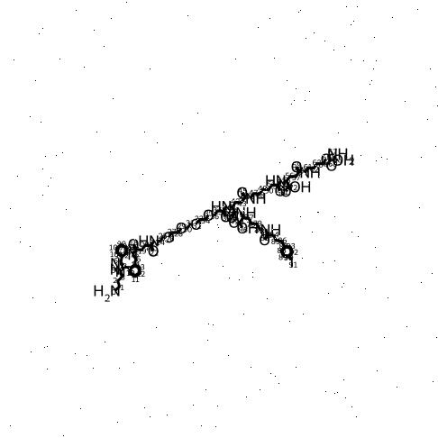 NCCCn1nnc2c1-c1ccccc1CN(C(=O)CCC(=O)NCCOCCOCCOCCOCCC(=O)NC(CCC(=O)NCCCCCC(=O)NC(CCC(=O)NCCCCOP(N)(=O)O)C(=O)O)C(=O)NC(CCCCNC(=O)CCCc1ccc(I)cc1)C(=O)O)c1ccccc1-2